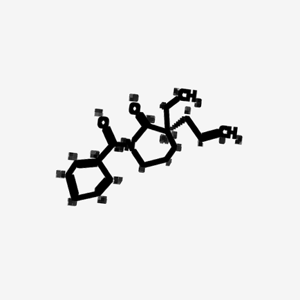 C=CC[C@]1(CC)CCCN(C(=O)c2ccccc2)C1=O